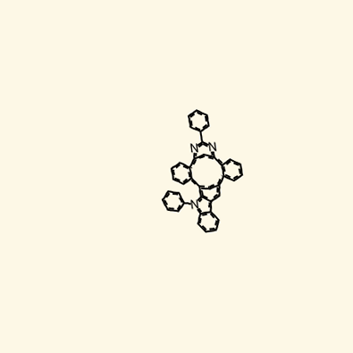 c1ccc(-c2nc3cc(n2)c2ccccc2c2cc(cc4c5ccccc5n(-c5ccccc5)c24)c2ccccc32)cc1